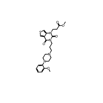 COC(=O)CCn1c(=O)n(CCCN2CCN(c3ccccc3OC)CC2)c(=O)c2cscc21